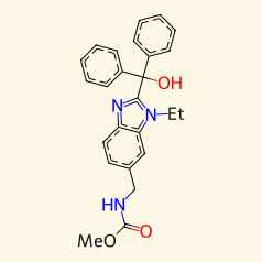 CCn1c(C(O)(c2ccccc2)c2ccccc2)nc2ccc(CNC(=O)OC)cc21